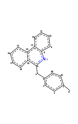 Cc1ccc(Cc2nc3ccccc3c3ccccc23)cc1